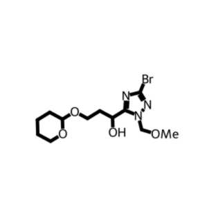 COCn1nc(Br)nc1C(O)CCOC1CCCCO1